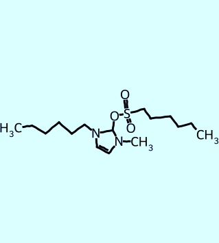 CCCCCCN1C=CN(C)C1OS(=O)(=O)CCCCCC